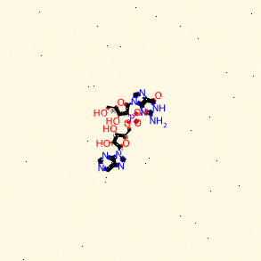 Nc1nc2c(ncn2[C@@H]2O[C@H](CO)[C@@H](O)[C@H]2P(=O)(O)OC[C@H]2O[C@@H](n3cnc4cncnc43)[C@H](O)[C@@H]2O)c(=O)[nH]1